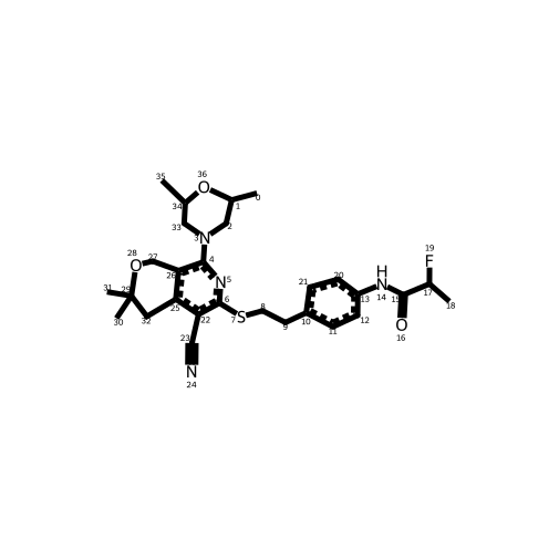 CC1CN(c2nc(SCCc3ccc(NC(=O)C(C)F)cc3)c(C#N)c3c2COC(C)(C)C3)CC(C)O1